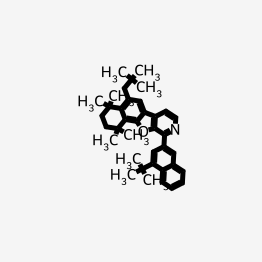 CC(C)(C)Cc1cc2c(oc3c(-c4cc(C(C)(C)C)c5ccccc5c4)nccc32)c2c1C(C)(C)CCC2(C)C